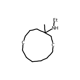 CCNC1(C)CCCCCCCCCCCC1